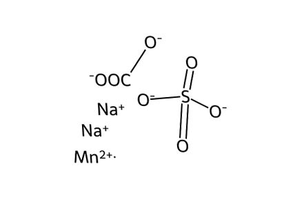 O=C([O-])[O-].O=S(=O)([O-])[O-].[Mn+2].[Na+].[Na+]